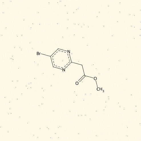 COC(=O)Cc1ncc(Br)cn1